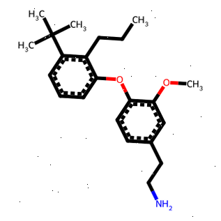 CCCc1c(Oc2ccc(CCN)cc2OC)cccc1C(C)(C)C